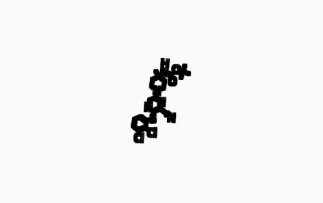 CC1(NC(=O)OC(C)(C)C)CCN(c2cnc(Sc3cccc(Cl)c3Cl)c(C#N)n2)CC1